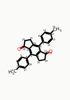 Cc1ccc(-c2c3c(c(-c4ccc(C)cc4)c4c2C(=O)CC4)C(=O)CC3)cc1